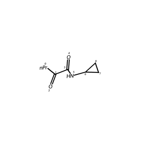 CCCC(=O)C(=O)NC1CC1